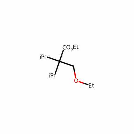 CCOCC(C(=O)OCC)(C(C)C)C(C)C